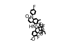 CCS(=O)(=O)CC(O)([C@@H](Nc1cc(C)cc2c1ccc(=O)n2-c1ccc(F)cc1)c1ccc(OC)c(F)c1Cl)C(F)(F)F